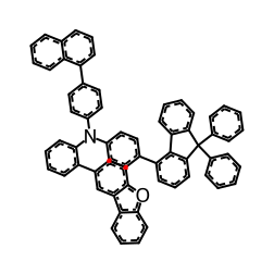 c1ccc(C2(c3ccccc3)c3ccccc3-c3c(-c4ccc(N(c5ccc(-c6cccc7ccccc67)cc5)c5ccccc5-c5ccc6oc7ccccc7c6c5)cc4)cccc32)cc1